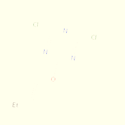 CCC=COc1nc(Cl)nc(Cl)n1